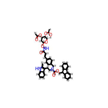 CC(=O)O[C@@H]1[C@H](C)O[C@@H](ONC(=O)/C=C/c2ccc(CN(CCc3c(C)[nH]c4ccccc34)C(=O)OCC3c4ccccc4-c4ccccc43)cc2)C[C@@H]1OC(C)=O